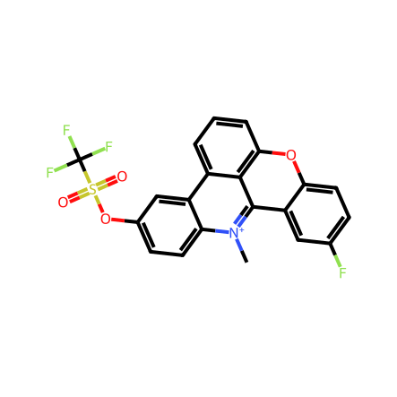 C[n+]1c2c3c(cccc3c3cc(OS(=O)(=O)C(F)(F)F)ccc31)Oc1ccc(F)cc1-2